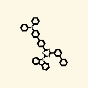 c1ccc(-c2cccc(-c3nc(-c4ccc(-c5ccc(N(c6ccccc6)c6ccccc6)cc5)cc4)nc(-n4c5ccccc5c5ccccc54)n3)c2)cc1